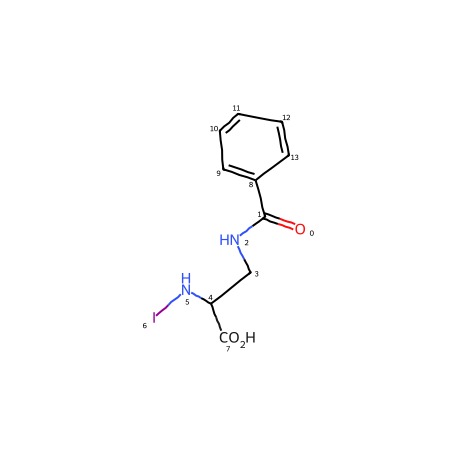 O=C(NCC(NI)C(=O)O)c1ccccc1